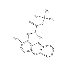 Cc1ccc2cc3ccccc3cc2c1NC(C)C(=O)OC(C)(C)C